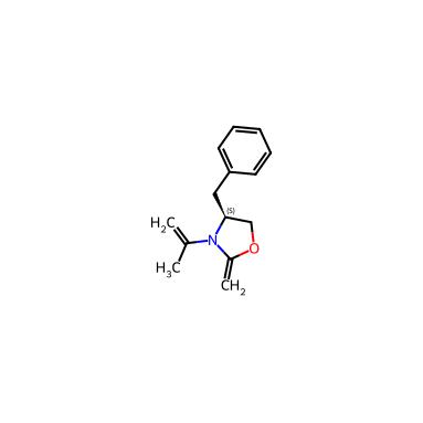 C=C(C)N1C(=C)OC[C@@H]1Cc1ccccc1